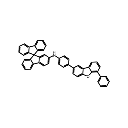 c1ccc(-c2cccc3c2oc2ccc(-c4ccc(Nc5ccc6c(c5)C5(c7ccccc7-c7ccccc75)c5ccccc5-6)cc4)cc23)cc1